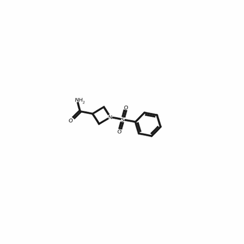 NC(=O)C1CN(S(=O)(=O)c2ccccc2)C1